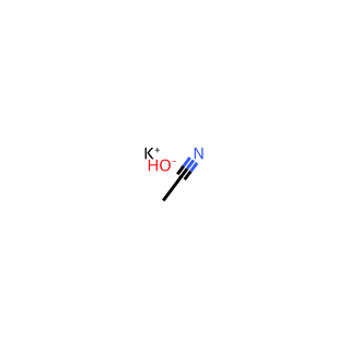 CC#N.[K+].[OH-]